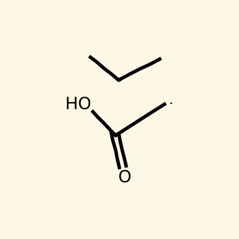 CCC.[CH2]C(=O)O